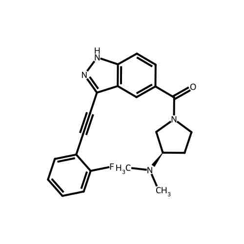 CN(C)[C@@H]1CCN(C(=O)c2ccc3[nH]nc(C#Cc4ccccc4F)c3c2)C1